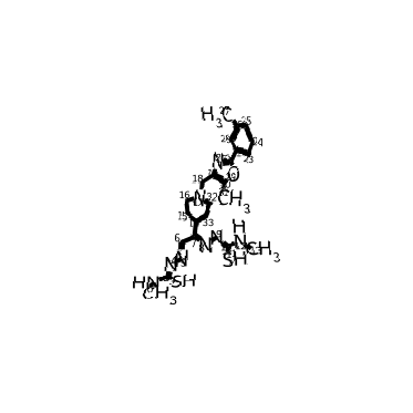 CN/C(S)=N/N=C/C(=N/N=C(\S)NC)C1CCN(Cc2nc(-c3cccc(C)c3)oc2C)CC1